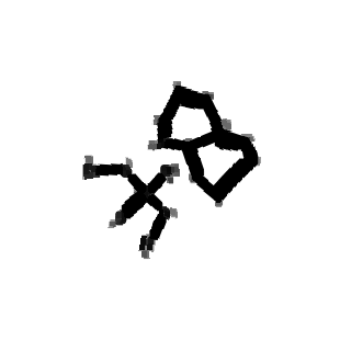 CCOP(=O)(O)OCC.c1ccc2ncccc2c1